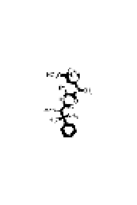 CN[C@H](C(=O)N[C@H](C(=O)N(C)[C@H](/C=C(\C)C(=O)O)CC(C)C)C(C)C)C(C)(C)c1ccccc1